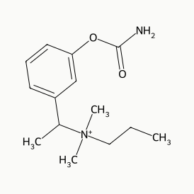 CCC[N+](C)(C)C(C)c1cccc(OC(N)=O)c1